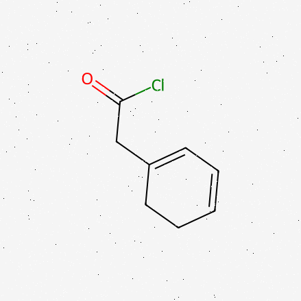 O=C(Cl)CC1=CC=CCC1